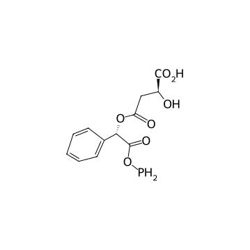 O=C(C[C@H](O)C(=O)O)O[C@H](C(=O)OP)c1ccccc1